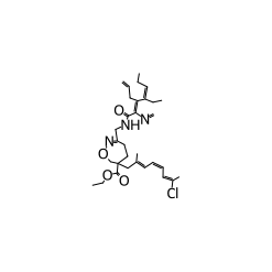 C=CCC(/C(=C\CC)CC)=C(/N=C)C(=O)NCC1=NOCC(C/C(C)=C/C=C\C=C(/C)Cl)(C(=O)OCC)CC1